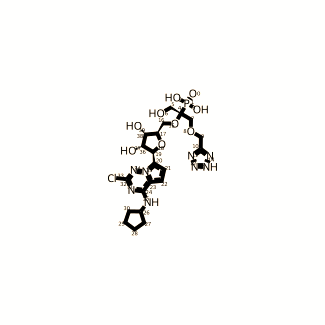 O=P(O)(O)[C@](CO)(COCc1nn[nH]n1)OC[C@H]1O[C@@H](c2ccc3c(NC4CCCC4)nc(Cl)nn23)[C@H](O)[C@@H]1O